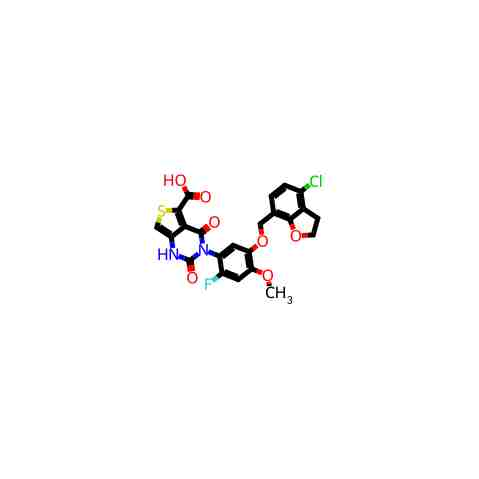 COc1cc(F)c(-n2c(=O)[nH]c3csc(C(=O)O)c3c2=O)cc1OCc1ccc(Cl)c2c1OCC2